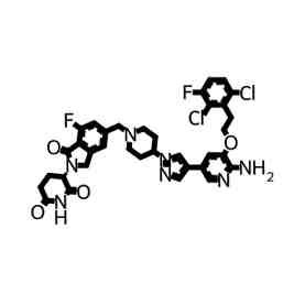 Nc1ncc(-c2cnn(C3CCN(Cc4cc(F)c5c(c4)CN([C@@H]4CCC(=O)NC4=O)C5=O)CC3)c2)cc1OCCc1c(Cl)ccc(F)c1Cl